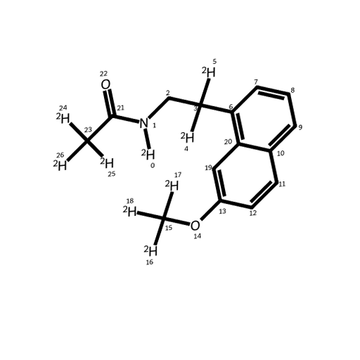 [2H]N(CC([2H])([2H])c1cccc2ccc(OC([2H])([2H])[2H])cc12)C(=O)C([2H])([2H])[2H]